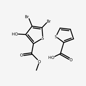 COC(=O)c1sc(Br)c(Br)c1O.O=C(O)c1cccs1